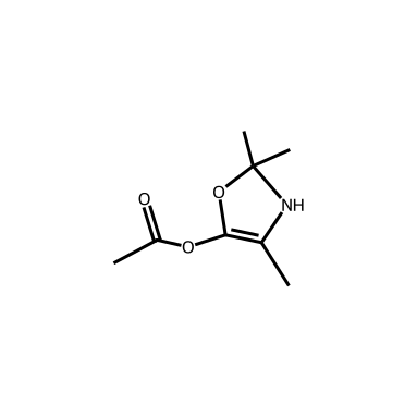 CC(=O)OC1=C(C)NC(C)(C)O1